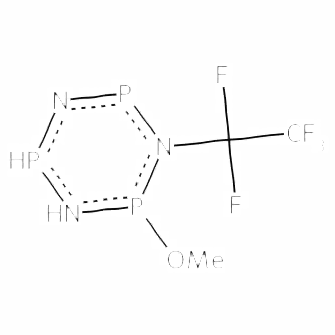 COp1[nH][pH]npn1C(F)(F)C(F)(F)F